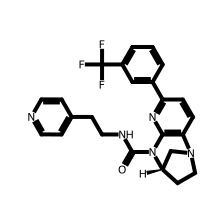 O=C(NCCc1ccncc1)N1c2nc(-c3cccc(C(F)(F)F)c3)ccc2N2CC[C@H]1C2